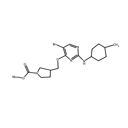 CC1CCC(Nc2ncc(Br)c(OCC3CCN(C(=O)OC(C)(C)C)C3)n2)CC1